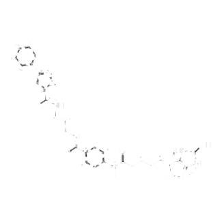 C=C1N[C@H]2[C@H](CS[C@H]2CCCCC(=O)Nc2ccc(C(=O)NCCCNC(=O)c3cc(-c4ccccc4)[nH]n3)cc2)N1